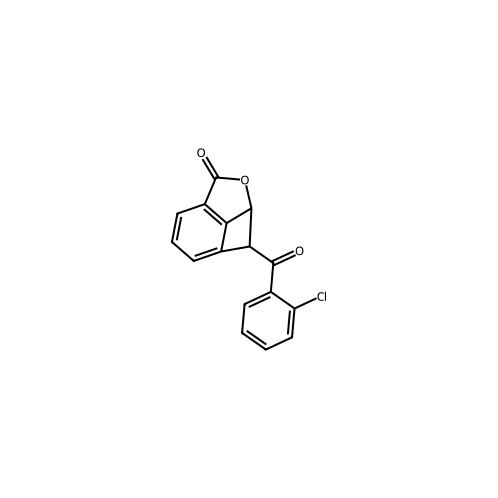 O=C1OC2c3c1cccc3C2C(=O)c1ccccc1Cl